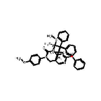 COc1ccc(N2Cc3cnc(Nc4ccccc4)nc3N([C@](C)(O[SiH3])C(c3ccccc3)(c3ccccc3)C(C)(C)C)C2=O)cc1